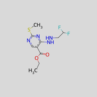 CCOC(=O)c1cnc(SC)nc1NNCC(F)F